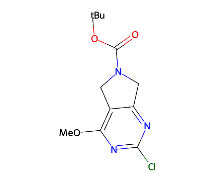 COc1nc(Cl)nc2c1CN(C(=O)OC(C)(C)C)C2